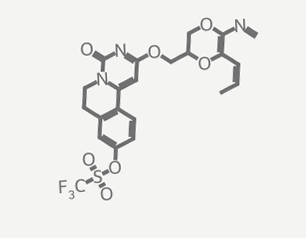 C=NC1=C(/C=C\C)OC(COc2cc3n(c(=O)n2)CCc2cc(OS(=O)(=O)C(F)(F)F)ccc2-3)CO1